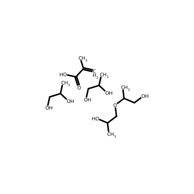 C=C(C)C(=O)O.CC(O)CO.CC(O)CO.CC(O)COC(C)CO